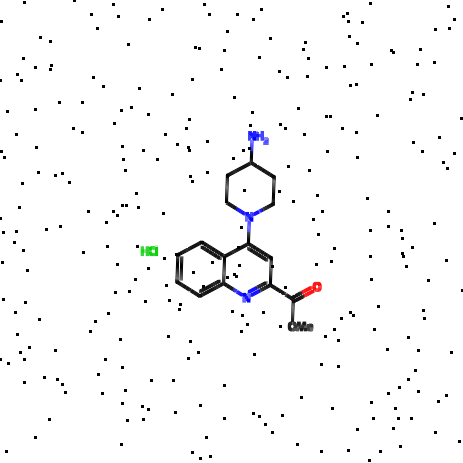 COC(=O)c1cc(N2CCC(N)CC2)c2ccccc2n1.Cl